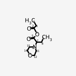 CCC(=O)OC(=O)C(CC)N1CCOCC1